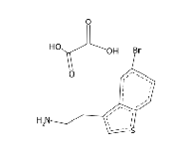 NCCc1csc2ccc(Br)cc12.O=C(O)C(=O)O